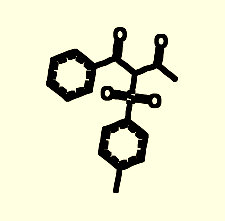 CC(=O)C(C(=O)c1ccccc1)S(=O)(=O)c1ccc(C)cc1